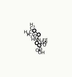 COc1c(-c2ccc(C)c(C)c2)cccc1-c1nc2c(ccc3cc(OC(=O)O)cc(OC(=O)C(F)(F)F)c32)[nH]1